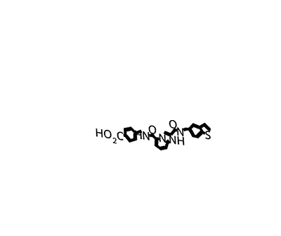 O=C(O)c1ccc(CNC(=O)c2cccc3nc(C(=O)NCc4ccc5sccc5c4)cn23)cc1